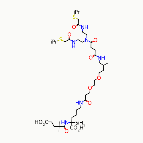 CC(CCOCCOCCC(=O)NCCCCC([SiH3])(NC(=O)C(C)(C)CCC(=O)O)C(=O)O)CNC(=O)CCC(=O)N(CCNC(=O)CSC(C)C)CCNC(=O)CSC(C)C